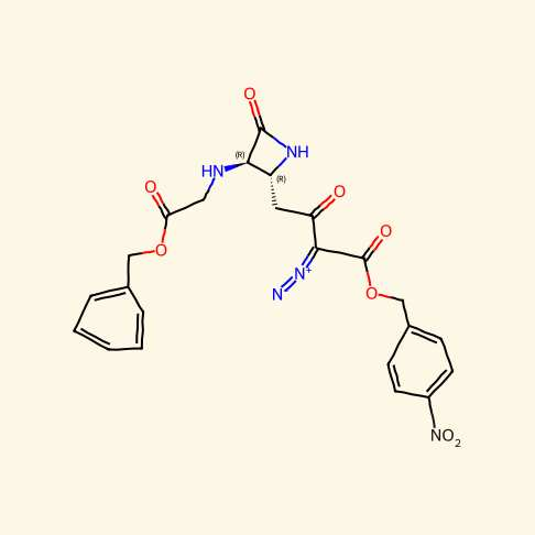 [N-]=[N+]=C(C(=O)C[C@H]1NC(=O)[C@@H]1NCC(=O)OCc1ccccc1)C(=O)OCc1ccc([N+](=O)[O-])cc1